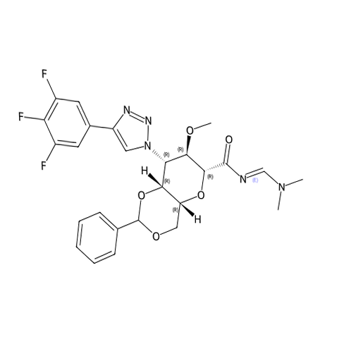 CO[C@@H]1[C@@H](n2cc(-c3cc(F)c(F)c(F)c3)nn2)[C@H]2OC(c3ccccc3)OC[C@H]2O[C@H]1C(=O)/N=C/N(C)C